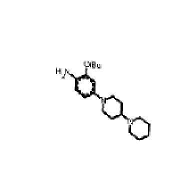 CC(C)COc1cc(N2CCC(N3CCCCC3)CC2)ccc1N